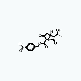 C[C@@H](O)[C@H]1C(=O)N2C(C(=O)OCc3ccc([N+](=O)[O-])cc3)C(=O)C[C@H]12